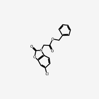 O=C(Cn1c(=O)oc2cc(Cl)ccc21)OCc1ccccc1